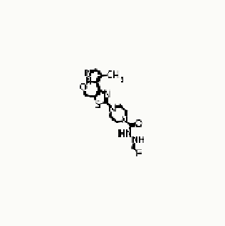 Cc1cnn2c1-c1nc(N3CCN(C(=O)NNCF)CC3)sc1CO2